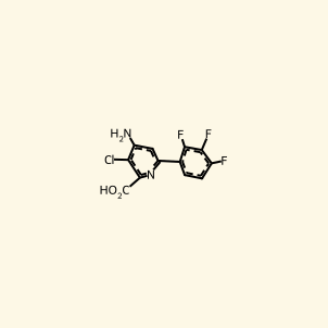 Nc1cc(-c2ccc(F)c(F)c2F)nc(C(=O)O)c1Cl